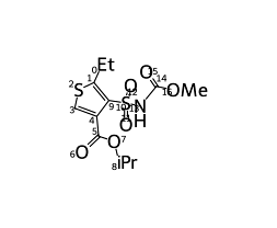 CCc1scc(C(=O)OC(C)C)c1S(=O)(=O)NC(=O)OC